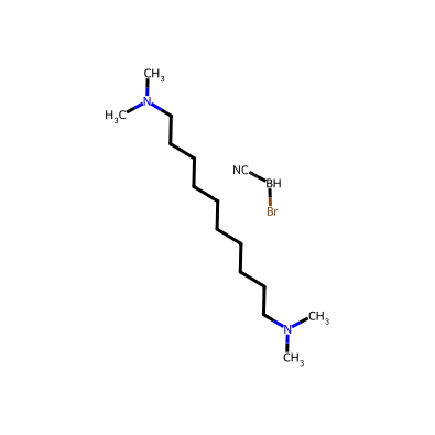 CN(C)CCCCCCCCCCN(C)C.N#CBBr